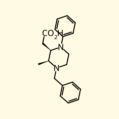 C[C@H]1[C@@H](CC(=O)O)N(c2ccccc2)CCN1Cc1ccccc1